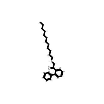 CCCCCCCCCCCCSCC(=O)c1ccccc1-c1ccccc1